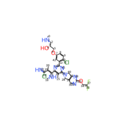 CNC[C@@H](O)COc1ccc(Cl)c(-c2nc(/C(NC)=C(\C)C(=N)Cl)c(C)c(N3Cc4cnc(OCC(F)F)nc4C3)n2)c1